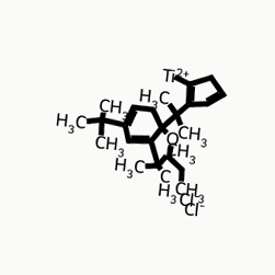 CCCOC1(C(C)(C)C2=[C]([Ti+2])CC=C2)CC=C(C(C)(C)C)C=C1C(C)(C)C.[Cl-].[Cl-]